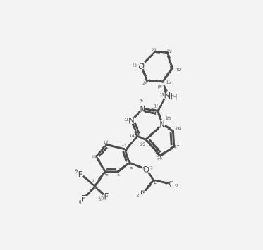 FC(F)Oc1cc(C(F)(F)F)ccc1-c1nnc(N[C@@H]2CCCOC2)n2cccc12